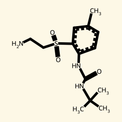 Cc1ccc(NC(=O)NC(C)(C)C)c(S(=O)(=O)CCN)c1